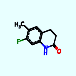 Cc1cc2c(cc1F)NC(=O)CC2